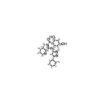 Cc1ccccc1-c1cc(Nc2cc(O)cc(O)c2C(=O)N2Cc3cccnc3C2)n(C)n1